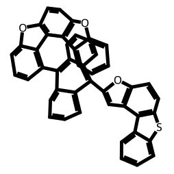 c1ccc2c(c1)oc1ccc3oc4cccc(-c5c6ccccc6c(-c6cc7c(ccc8sc9ccccc9c87)o6)c6ccccc56)c4c3c12